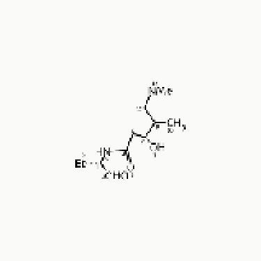 CC[C@@H](C=O)NC(=O)C[C@@H](O)C(C)CNC